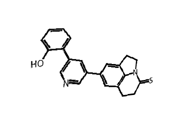 Oc1ccccc1-c1cncc(-c2cc3c4c(c2)CCN4C(=S)CC3)c1